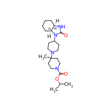 CC(C)OC(=O)N1CCC(C)(N2CCC(N3C(=O)N[C@@H]4CCCC[C@@H]43)CC2)CC1